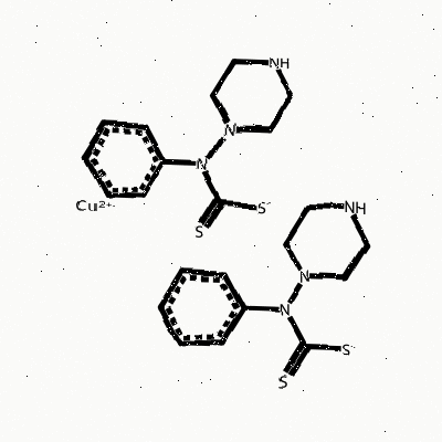 S=C([S-])N(c1ccccc1)N1CCNCC1.S=C([S-])N(c1ccccc1)N1CCNCC1.[Cu+2]